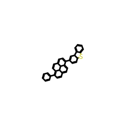 C1=CC2Sc3ccccc3C2C=C1C1=CC=C2C=CC3=C(c4ccccc4)C=CC4=CC=C1C2C43